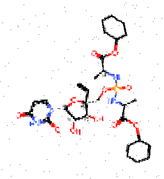 C=C[C@]1(COP(=O)(N[C@@H](C)C(=O)OC2CCCCC2)N[C@@H](C)C(=O)OC2CCCCC2)O[C@@H](n2ccc(=O)[nH]c2=O)[C@H](O)[C@@H]1O